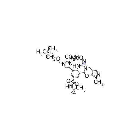 CO/N=c1\[nH]c2c(-c3cn(COCC[Si](C)(C)C)c(C(=O)O)n3)cc(S(=O)(=O)NC3(C)CC3)cc2c(=O)n1Cc1cnn(C)c1